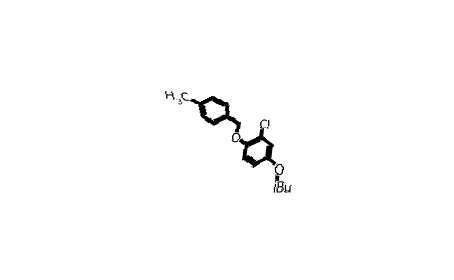 CCC(C)Oc1ccc(OCc2ccc(C)cc2)c(Cl)c1